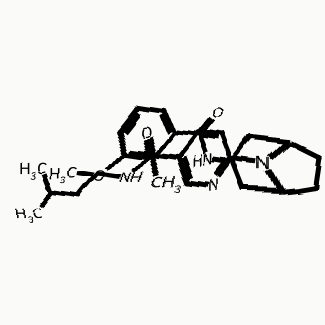 COc1cccc(C(=O)NC2CC3CCC(C2)N3c2ccc(C(=O)NCCC(C)C)cn2)c1C